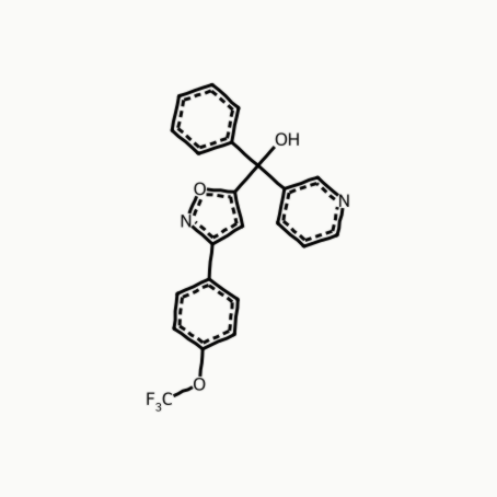 OC(c1ccccc1)(c1cccnc1)c1cc(-c2ccc(OC(F)(F)F)cc2)no1